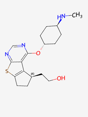 CN[C@H]1CC[C@H](Oc2ncnc3sc4c(c23)[C@@H](CCO)CC4)CC1